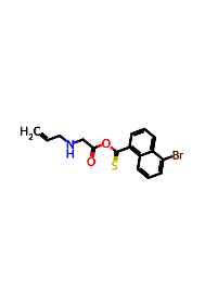 C=CCNCC(=O)OC(=S)c1cccc2c(Br)cccc12